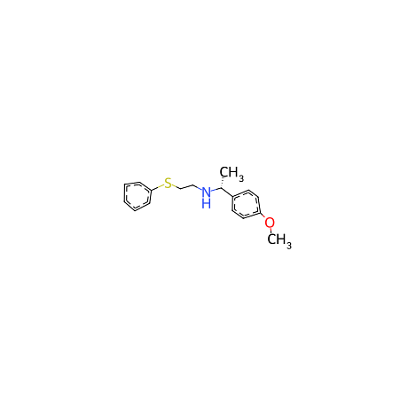 COc1ccc([C@@H](C)NCCSc2ccccc2)cc1